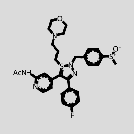 CC(=O)Nc1cc(C2=S(CCCN3CCOCC3)N(Cc3ccc([S+](C)[O-])cc3)N=C2c2ccc(F)cc2)ccn1